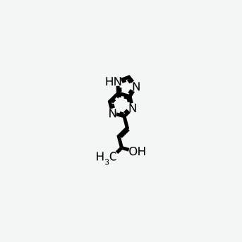 CC(O)C=Cc1ncc2[nH]cnc2n1